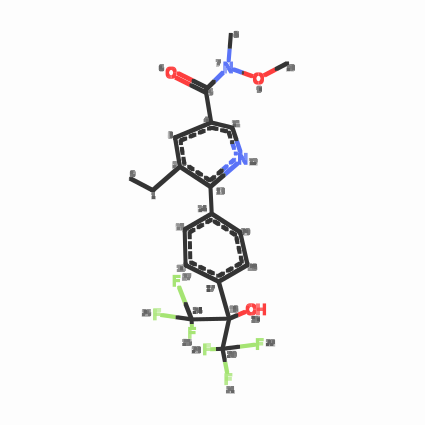 CCc1cc(C(=O)N(C)OC)cnc1-c1ccc(C(O)(C(F)(F)F)C(F)(F)F)cc1